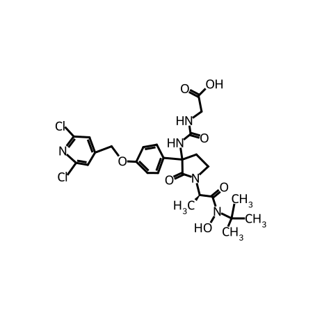 C[C@H](C(=O)N(O)C(C)(C)C)N1CCC(NC(=O)NCC(=O)O)(c2ccc(OCc3cc(Cl)nc(Cl)c3)cc2)C1=O